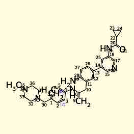 C=C(/C=C\C(=C/C)NC(=C)Cc1cc(-c2cncc(NC(=O)C3CC3)c2)ccc1N)CN1CCN(C)CC1